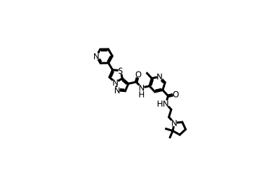 Cc1ncc(C(=O)NCCN2CCCC2(C)C)cc1NC(=O)c1cnn2cc(-c3cccnc3)sc12